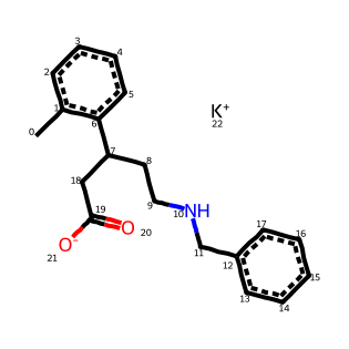 Cc1ccccc1C(CCNCc1ccccc1)CC(=O)[O-].[K+]